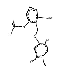 CCC(=O)Oc1cccc(Br)c1COc1cc(Cl)c(C)cc1Cl